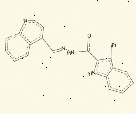 CC(C)c1c(C(=O)NN=Cc2ccnc3ccccc23)[nH]c2ccccc12